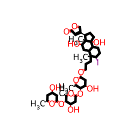 C[C@@H]1C[C@@H](O)CC(O[C@H]2[C@@H](O)CC(O[C@H]3[C@@H](O)C[C@H](OCCC[C@]4(C)C5C[C@@H](O)[C@]6(C)[C@@H](C7=CC(=O)OC7)CC[C@]6(O)C5CC[C@@H]4I)O[C@@H]3C)O[C@@H]2C)O1